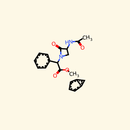 COC(=O)C(c1ccccc1)N1CC(NC(C)=O)C1=O.c1cc2cc-2c1